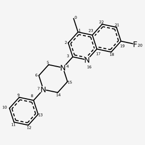 Cc1cc(N2CCN(c3ccccc3)CC2)nc2cc(F)ccc12